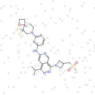 CC(C)c1nnc(N2CC(CS(C)(=O)=O)C2)c2cnc(Nc3ccnc(N4CC[C@]5(CCO5)C(F)(F)C4)n3)cc12